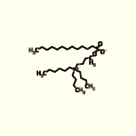 CCCCCCCCCCCCS(=O)(=O)[O-].CCCCCC[P+](CCCC)(CCCC)CCCC